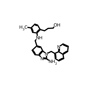 Cc1ccc(CCCO)c(NCc2ccc3nc(N)n(Cc4cccc5cccnc45)c3c2)c1